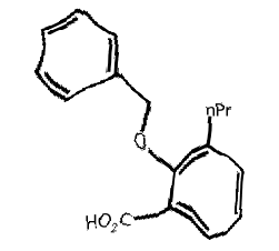 CCCc1cccc(C(=O)O)c1OCc1ccccc1